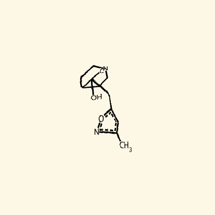 Cc1cc(CC2(O)CN3CCC2CC3)on1